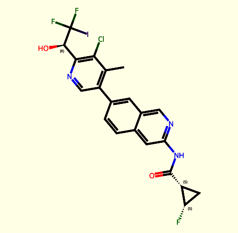 Cc1c(-c2ccc3cc(NC(=O)[C@@H]4C[C@@H]4F)ncc3c2)cnc([C@@H](O)C(F)(F)I)c1Cl